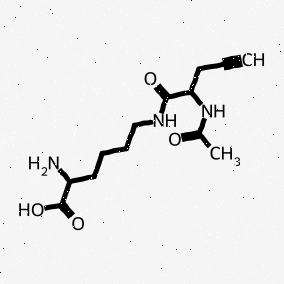 C#CCC(NC(C)=O)C(=O)NCCCCC(N)C(=O)O